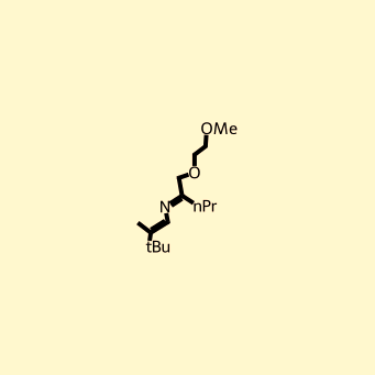 CCC/C(COCCOC)=N\C=C(/C)C(C)(C)C